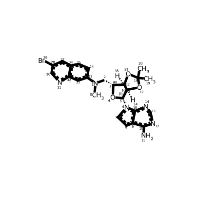 CN(C[C@H]1O[C@@H](n2ccc3c(N)ncnc32)[C@@H]2OC(C)(C)O[C@@H]21)c1ccc2cc(Br)cnc2c1